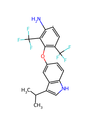 CC(C)c1c[nH]c2ccc(Oc3c(C(F)(F)F)c[c]c(N)c3C(F)(F)F)cc12